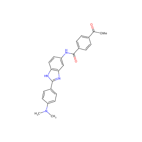 COC(=O)c1ccc(C(=O)Nc2ccc3[nH]c(-c4ccc(N(C)C)cc4)nc3c2)cc1